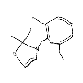 Cc1cccc(C)c1N1C=COC1(C)C